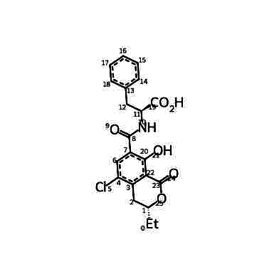 CC[C@@H]1Cc2c(Cl)cc(C(=O)N[C@@H](Cc3ccccc3)C(=O)O)c(O)c2C(=O)O1